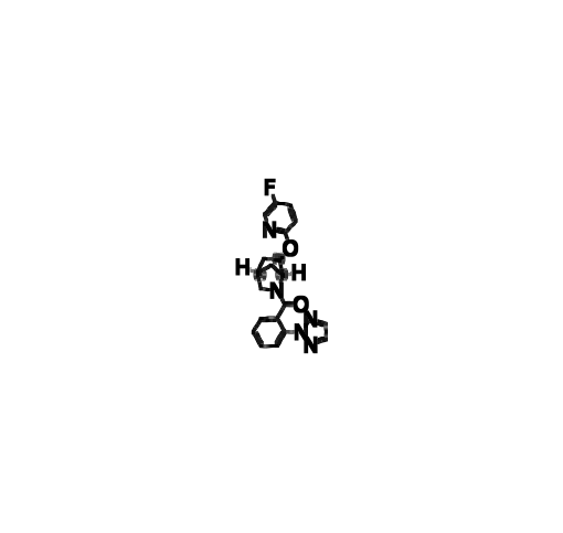 O=C(c1ccccc1-n1nccn1)N1C[C@H]2C[C@@H](Oc3ccc(F)cn3)[C@@H]1C2